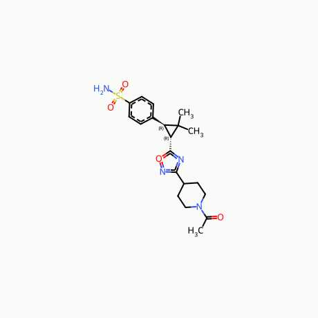 CC(=O)N1CCC(c2noc([C@@H]3[C@@H](c4ccc(S(N)(=O)=O)cc4)C3(C)C)n2)CC1